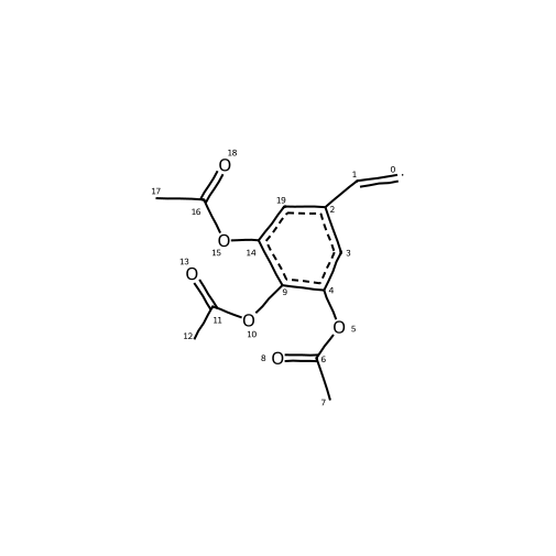 [CH]=Cc1cc(OC(C)=O)c(OC(C)=O)c(OC(C)=O)c1